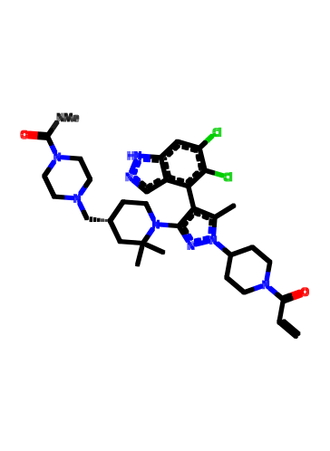 C=CC(=O)N1CCC(n2nc(N3CC[C@@H](CN4CCN(C(=O)NC)CC4)CC3(C)C)c(-c3c(Cl)c(Cl)cc4[nH]ncc34)c2C)CC1